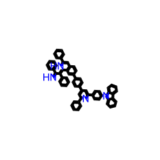 N=C(/C(=C1\NC(c2ccccc2)=Cc2ccc(-c3ccc(-c4cc(-c5ccccc5)nc(-c5ccc(-n6c7ccccc7c7ccccc76)cc5)c4)cc3)cc21)c1ccccc1)c1ccccc1